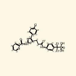 CCC(CC)(c1ccc(NC(=O)CCc2sc(NC(=O)c3ccccn3)nc2-c2ccc(Cl)cc2)cc1)P(=O)(O)O